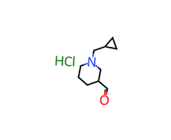 Cl.O=CC1CCCN(CC2CC2)C1